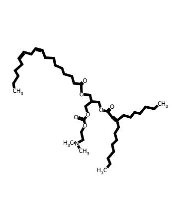 CCCCC/C=C\C/C=C\CCCCCCCC(=O)OCC(COC(=O)/C=C(\CCCCCCC)CCCCCCCC)COC(=O)OCCN(C)C